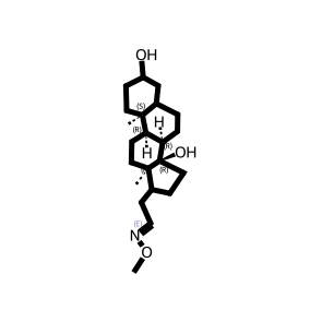 CO/N=C/CC1CC[C@@]2(O)[C@@H]3CCC4CC(O)CC[C@]4(C)[C@@H]3CC[C@]12C